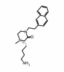 CN1CCN(CCc2ccc3ccccc3c2)C(=O)[C@@H]1CCCCN